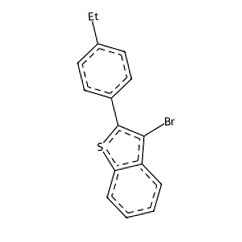 CCc1ccc(-c2sc3ccccc3c2Br)cc1